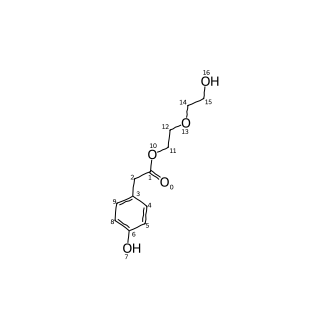 O=C(Cc1ccc(O)cc1)OCCOCCO